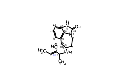 C/C=C/C(C)N[C@@H]1CCn2c(=O)[nH]c3cccc(c32)[C@H]1O